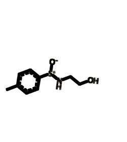 Cc1ccc([S+]([O-])NCCO)cc1